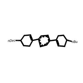 CCCCCCCCCCC1CC=C(c2ccc(C3=CCC(CCCC)CC3)cc2)CC1